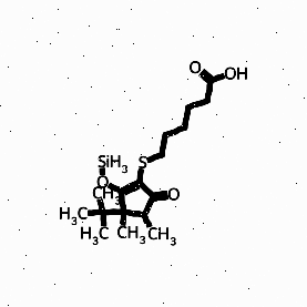 CC1C(=O)C(SCCCCCC(=O)O)=C(O[SiH3])C1(C)C(C)(C)C